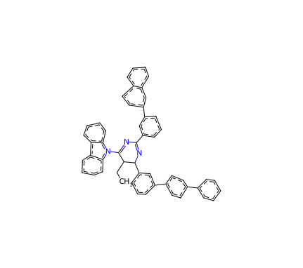 CCC1C(n2c3ccccc3c3ccccc32)=NC(c2cccc(-c3ccc4ccccc4c3)c2)=NC1c1cccc(-c2ccc(-c3ccccc3)cc2)c1